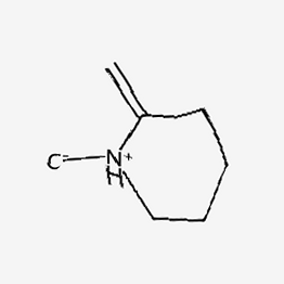 C=C1CCCC[NH+]1[CH2-]